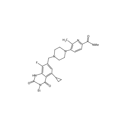 CCn1c(=O)[nH]c2c(F)c(CN3CCN(c4ccc(C(=O)NC)nc4C)CC3)cc(C3CC3)c2c1=O